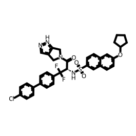 O=C([C@H](NS(=O)(=O)c1ccc2cc(OC3CCCC3)ccc2c1)C(F)(F)c1ccc(-c2ccc(Cl)cc2)cc1)N1Cc2cn[nH]c2C1